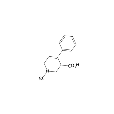 CCN1CC=C(c2ccccc2)C(C(=O)O)C1